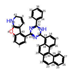 C1=Cc2c(oc3cccc(C4=NC(c5cccc6c5ccc5ccc7ccccc7c56)NC(c5ccccc5)=N4)c23)NC1